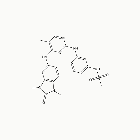 Cc1cnc(Nc2cccc(NS(C)(=O)=O)c2)nc1Nc1ccc2c(c1)n(C)c(=O)n2C